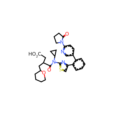 O=C(O)CC(CC1CCCCO1)C(=O)N(c1nc(-c2ccccc2-c2ccc(N3CCCC3=O)nc2)cs1)C1CC1